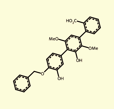 COc1cc(-c2ccccc2C(=O)O)c(OC)c(O)c1-c1ccc(OCc2ccccc2)c(O)c1